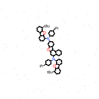 CC(C)c1ccc(N(c2ccc3c(c2)oc2cc(N(c4ccc(C(C)C)cc4)c4cccc5c4oc4c(C(C)(C)C)cccc45)c4ccccc4c23)c2cccc3c2oc2c(C(C)(C)C)cccc23)cc1